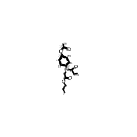 CCCOC(=O)CN(C(=O)CC)c1ccc(OC(C)=O)cc1